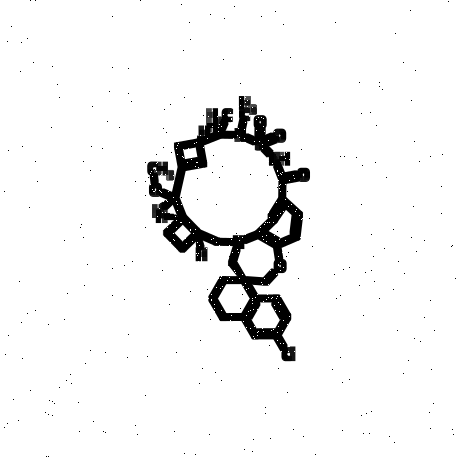 CO[C@@H]1C2=C[C@H](C2)[C@H](C)N(C)S(=O)(=O)NC(=O)c2ccc3c(c2)N(C[C@@H]2CC[C@H]21)C[C@@]1(CCCc2cc(Cl)ccc21)CO3